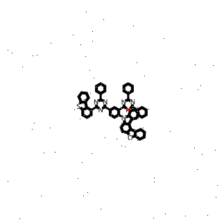 c1ccc(-c2nc(-c3ccccc3)nc(-c3cc(-c4nc(-c5ccccc5)nc(-c5cccc6sc7ccccc7c56)n4)ccc3-n3c4ccccc4c4c5c(ccc43)oc3ccccc35)n2)cc1